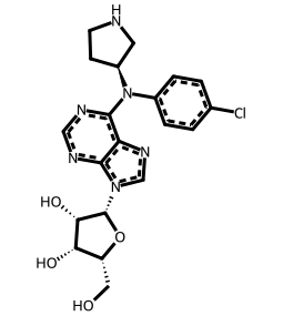 OC[C@H]1O[C@@H](n2cnc3c(N(c4ccc(Cl)cc4)[C@H]4CCNC4)ncnc32)[C@@H](O)[C@H]1O